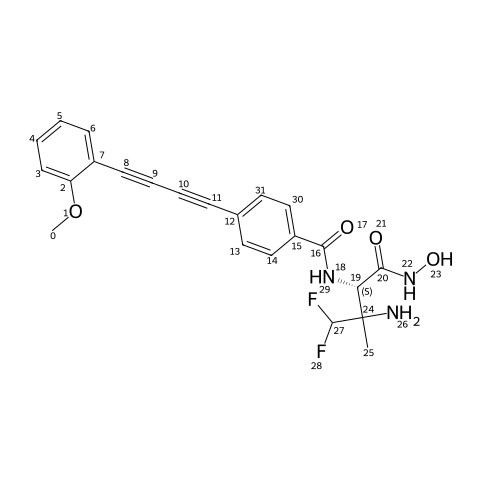 COc1ccccc1C#CC#Cc1ccc(C(=O)N[C@H](C(=O)NO)C(C)(N)C(F)F)cc1